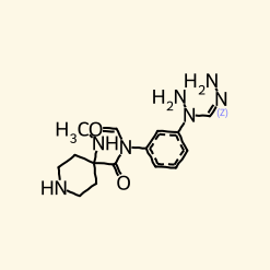 CNC1(C(=O)N(C=O)c2cccc(N(N)/C=N\N)c2)CCNCC1